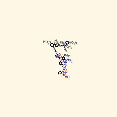 CC[N+]1=C(/C=C/C=C/C=C2/N(CCCCCC(=O)NCCOc3cccc(C4CN(C(=O)C[C@@H](NC(=O)OC(C)(C)C)c5ccccc5)CCN4c4nc(N)c5cc(OC)c(OC)cc5n4)c3)c3ccc(S(=O)(=O)O)cc3C2(C)C)C(C)(C)c2cc(S(=O)(=O)O)ccc21